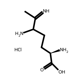 CC(=N)C(N)CC[C@@H](N)C(=O)O.Cl